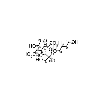 CCC(CO)(CO)CO.O=C(O)CCCCC(=O)O.OCCCCO.OCCO